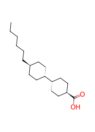 CCCCCC[C@H]1CC[C@H]([C@H]2CC[C@H](C(=O)O)CC2)CC1